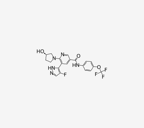 O=C(Nc1ccc(OC(F)(F)F)cc1)c1cnc(N2CC[C@@H](O)C2)c(-c2[nH]ncc2F)c1